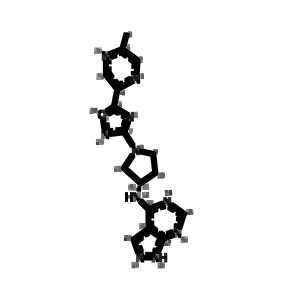 Cc1cnc(-c2nc(N3CC[C@H](Nc4ncnc5[nH]ncc45)C3)no2)cn1